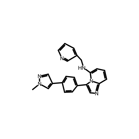 Cn1cc(-c2ccc(-c3cnc4cccc(NCc5cccnc5)n34)cc2)cn1